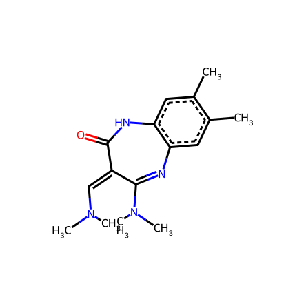 Cc1cc2c(cc1C)NC(=O)/C(=C/N(C)C)C(N(C)C)=N2